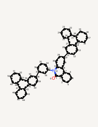 O=c1c2ccccc2c2cc(-c3ccc4c5ccccc5c5ccccc5c4c3)ccc2n1-c1cccc(-c2ccc3c4ccccc4c4ccccc4c3c2)c1